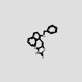 O=C1NC(=S)S/C1=C/c1c(OCc2ccccc2)ccc2ccccc12